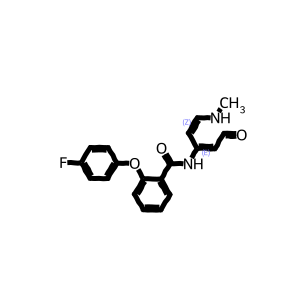 CN/C=C\C(=C/C=O)NC(=O)c1ccccc1Oc1ccc(F)cc1